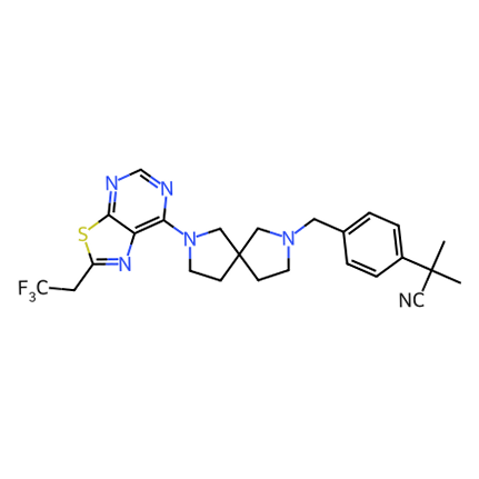 CC(C)(C#N)c1ccc(CN2CCC3(CCN(c4ncnc5sc(CC(F)(F)F)nc45)C3)C2)cc1